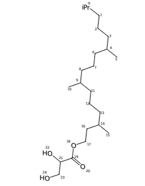 CC(C)CCCC(C)CCCC(C)CCCC(C)CCOC(=O)C(O)CO